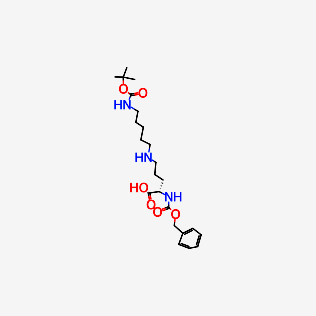 CC(C)(C)OC(=O)NCCCCCNCCC[C@H](NC(=O)OCc1ccccc1)C(=O)O